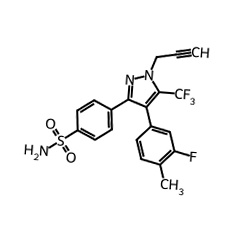 C#CCn1nc(-c2ccc(S(N)(=O)=O)cc2)c(-c2ccc(C)c(F)c2)c1C(F)(F)F